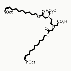 CCCCCCCC/C=C\CCCCCCCCOC(=O)CN(CCN(CC(=O)O)CC(=O)OCCCCCCCC/C=C\CCCCCCCC)CC(=O)O